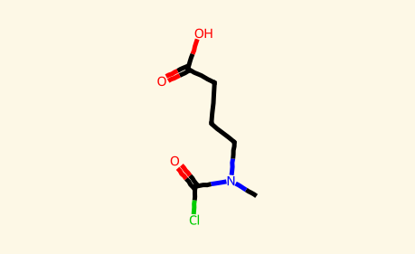 CN(CCCC(=O)O)C(=O)Cl